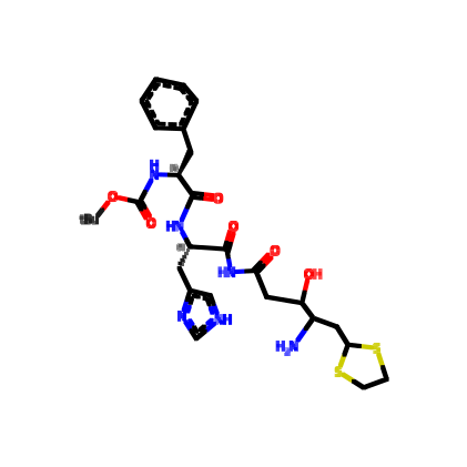 CC(C)(C)OC(=O)N[C@@H](Cc1ccccc1)C(=O)N[C@@H](Cc1c[nH]cn1)C(=O)NC(=O)CC(O)C(N)CC1SCCS1